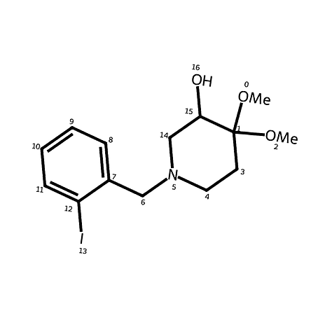 COC1(OC)CCN(Cc2ccccc2I)CC1O